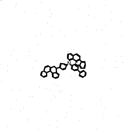 C1=CC2C=CC3=C(c4ccccc4C(c4ccc(N(c5ccc(-c6ccccc6)cc5)c5cccc6ccc7c8ccccc8sc7c56)cc4)C3)C2C=C1